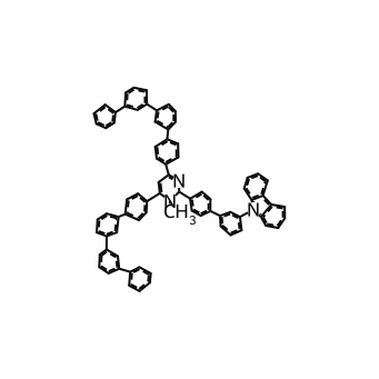 CN1C(c2ccc(-c3cccc(-c4cccc(-c5ccccc5)c4)c3)cc2)=CC(c2ccc(-c3cccc(-c4cccc(-c5ccccc5)c4)c3)cc2)=NC1c1ccc(-c2cccc(-n3c4ccccc4c4ccccc43)c2)cc1